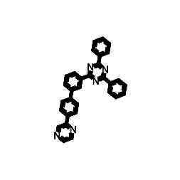 c1ccc(-c2nc(-c3ccccc3)nc(-c3cccc(-c4ccc(-c5cnccn5)cc4)c3)n2)cc1